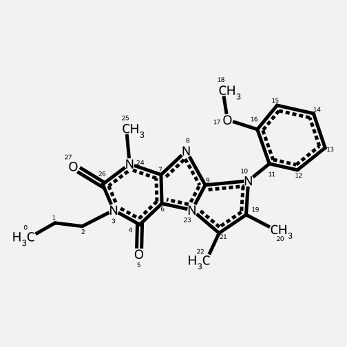 CCCn1c(=O)c2c(nc3n(-c4ccccc4OC)c(C)c(C)n23)n(C)c1=O